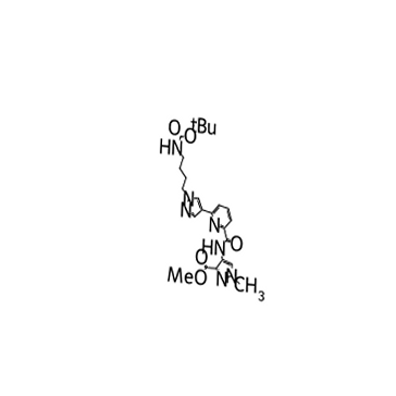 COC(=O)c1nn(C)cc1NC(=O)c1cccc(-c2cnn(CCCCNC(=O)OC(C)(C)C)c2)n1